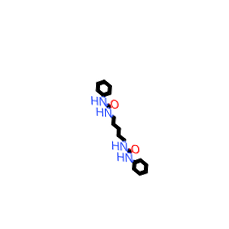 O=C(NCCCCCNC(=O)NC1CCCCC1)NC1CCCCC1